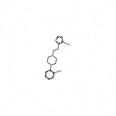 Cc1ncsc1CCN1CCN(c2ccccc2O)CC1